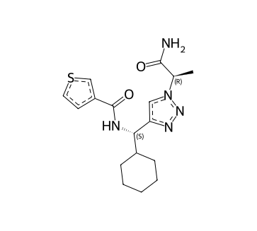 C[C@H](C(N)=O)n1cc([C@@H](NC(=O)c2ccsc2)C2CCCCC2)nn1